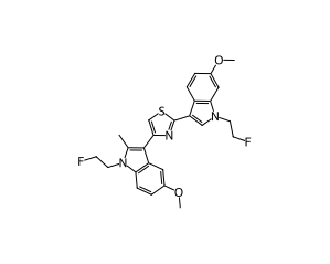 COc1ccc2c(c1)c(-c1csc(-c3cn(CCF)c4cc(OC)ccc34)n1)c(C)n2CCF